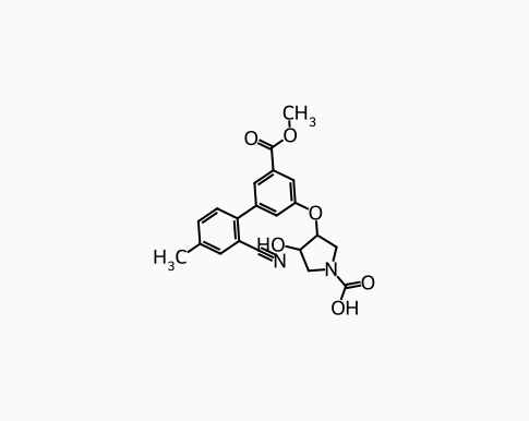 COC(=O)c1cc(OC2CN(C(=O)O)CC2O)cc(-c2ccc(C)cc2C#N)c1